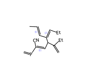 C=P/C(C#N)=C/C(C(=C)CC)C(=C\CC)/C=C/C